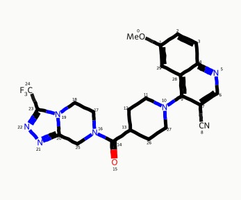 COc1ccc2ncc(C#N)c(N3CCC(C(=O)N4CCn5c(nnc5C(F)(F)F)C4)CC3)c2c1